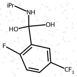 CC(C)NC(O)(O)c1cc(C(F)(F)F)ccc1F